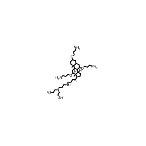 C[C@H](CCCNCCCN(CCS)CCS)C1CC[C@H]2C3[C@H](OCCCN)CC4C[C@H](OCCCN)CCC4(C)[C@H]3C[C@H](OCCCN)C12C